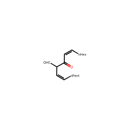 CCCCC/C=C\C(C=O)C(=O)/C=C\CCCCCC